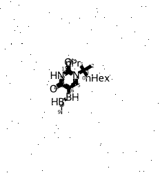 CCCCCCC(C)(CCC)n1cc(BBI)c(=O)[nH]c1=O